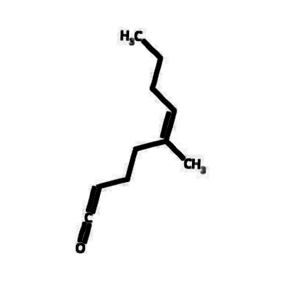 CCCC=C(C)CCC=C=O